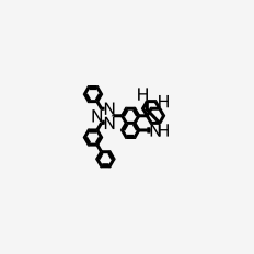 N#Cc1cccc2c(-c3nc(-c4ccccc4)nc(-c4cccc(-c5ccccc5)c4)n3)ccc(C34C[C@H]5C[C@H](C3)C[C@@H](C4)C5)c12